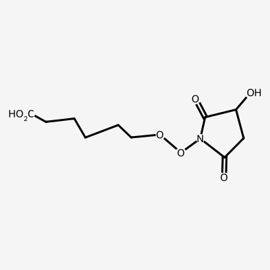 O=C(O)CCCCCOON1C(=O)CC(O)C1=O